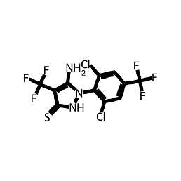 Nc1c(C(F)(F)F)c(=S)[nH]n1-c1c(Cl)cc(C(F)(F)F)cc1Cl